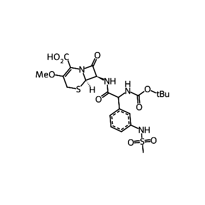 COC1=C(C(=O)O)N2C(=O)[C@@H](NC(=O)C(NC(=O)OC(C)(C)C)c3cccc(NS(C)(=O)=O)c3)[C@H]2SC1